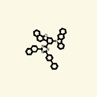 C1=CC(c2nc(-c3ccc(-c4ccccc4)cc3)nc(-c3cc(-n4c5ccccc5c5cc6ccccc6cc54)cc4oc5c6ccccc6ccc5c34)n2)Cc2ccccc21